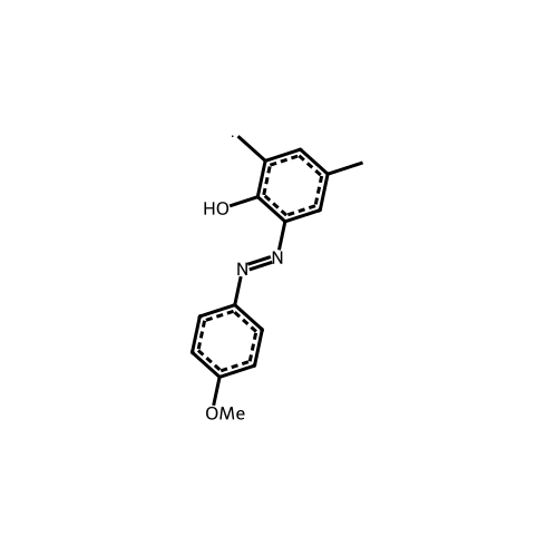 [CH2]c1cc(C)cc(/N=N/c2ccc(OC)cc2)c1O